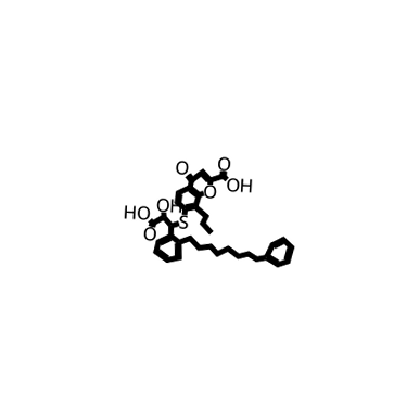 CCCc1c(SC(c2ccccc2CCCCCCCCc2ccccc2)C(O)C(=O)O)ccc2c(=O)cc(C(=O)O)oc12